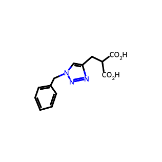 O=C(O)C(Cc1cn(Cc2ccccc2)nn1)C(=O)O